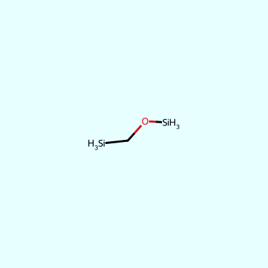 [SiH3]CO[SiH3]